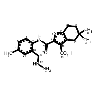 Cc1ccc(NC(=O)c2sc3c(c2C(=O)O)CC(C)(C)CC3)c(CNN)c1